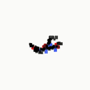 C=CCOc1ccc(N(CCC(=O)NC(CCCCNC(=O)OC(C)(C)C)C(=O)NC=CCCC(=O)O)C(C)=O)cc1